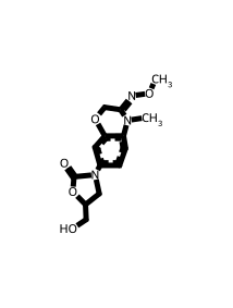 CON=C1COc2cc(N3CC(CO)OC3=O)ccc2N1C